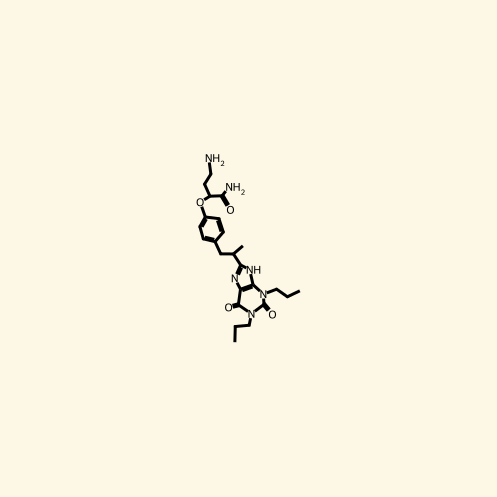 CCCn1c(=O)c2nc(C(C)Cc3ccc(OC(CCN)C(N)=O)cc3)[nH]c2n(CCC)c1=O